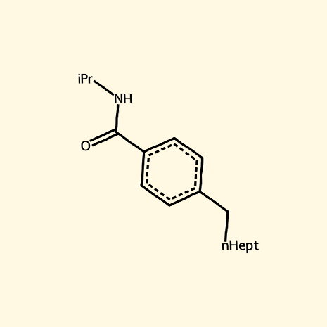 CCCCCCCCc1ccc(C(=O)NC(C)C)cc1